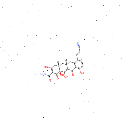 N#CC=Cc1ccc(O)c2c1C[C@H]1C[C@H]3CC(O)=C(C(N)=O)C(=O)[C@@]3(O)C(O)=C1C2=O